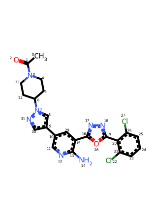 CC(=O)N1CCC(n2cc(-c3cnc(N)c(-c4nnc(-c5c(Cl)cccc5Cl)o4)c3)cn2)CC1